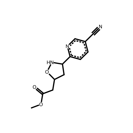 COC(=O)CC1CC(c2ccc(C#N)cn2)NO1